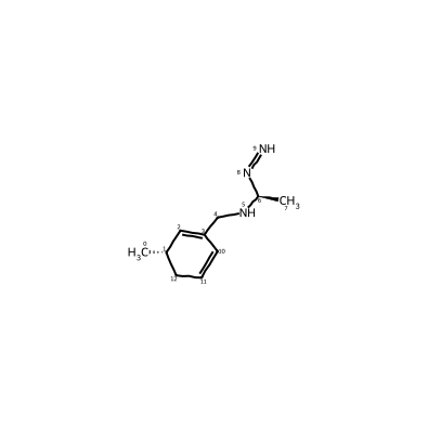 C[C@@H]1C=C(CN[C@H](C)N=N)C=CC1